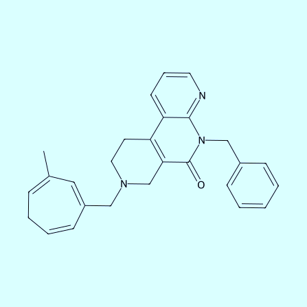 CC1=CCC=CC(CN2CCc3c(c(=O)n(Cc4ccccc4)c4ncccc34)C2)=C1